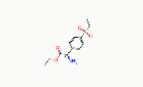 CCOC(=O)[C@H](N)c1ccc(S(=O)(=O)CC)cc1